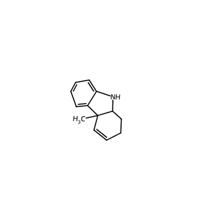 CC12C=CCCC1Nc1ccccc12